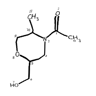 CC(=O)N1CC(CO)OCC1C